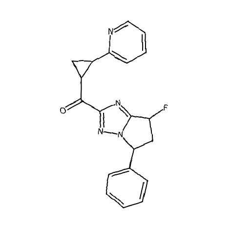 O=C(c1nc2n(n1)C(c1ccccc1)CC2F)C1CC1c1ccccn1